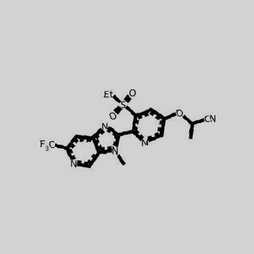 CCS(=O)(=O)c1cc(OC(C)C#N)cnc1-c1nc2cc(C(F)(F)F)ncc2n1C